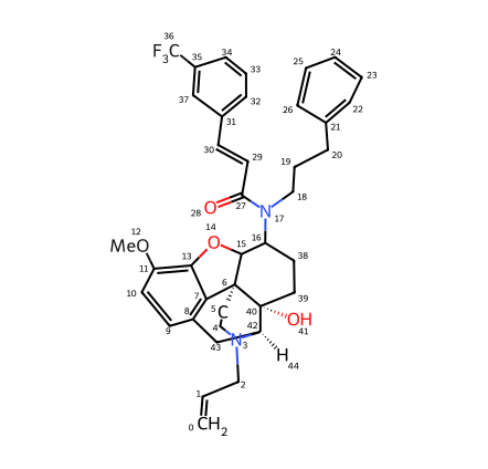 C=CCN1CC[C@]23c4c5ccc(OC)c4OC2C(N(CCCc2ccccc2)C(=O)/C=C/c2cccc(C(F)(F)F)c2)CC[C@@]3(O)[C@H]1C5